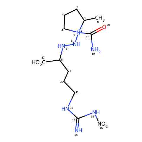 CC1CCC[N+]1(NNC(CCCNC(=N)N[N+](=O)[O-])C(=O)O)C(N)=O